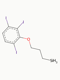 [SiH3]CCCOc1c(I)ccc(I)c1I